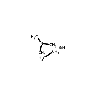 Br.CC.CN(C)C